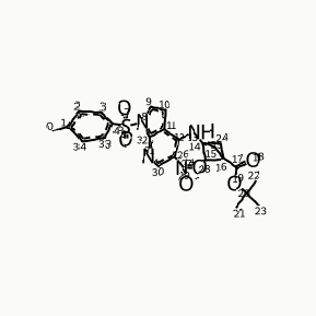 Cc1ccc(S(=O)(=O)n2ccc3c(NC45CC(C(=O)OC(C)(C)C)(C4)C5)c([N+](=O)[O-])cnc32)cc1